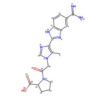 Cc1c(-c2nc3cc(C(=N)N)ccc3[nH]2)ncn1CC(=O)N1CCCC1C(=O)O